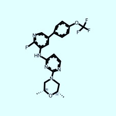 C[C@@H]1CN(c2nccc(Nc3cc(-c4ccc(OC(F)(F)F)cc4)cnc3F)n2)C[C@H](C)O1